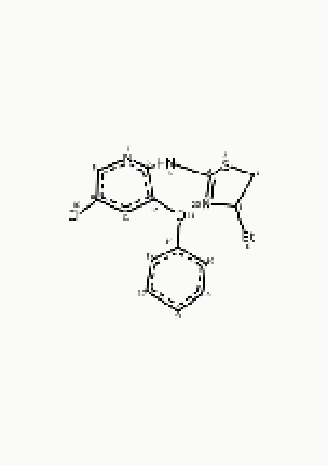 CCC1CSC(Nc2ncc(Cl)cc2Oc2ccccc2)=N1